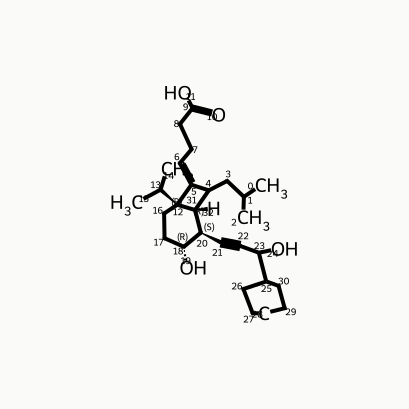 CC(C)CC1C(=CCCC(=O)O)[C@@]2(C(C)C)CC[C@@H](O)[C@H](C#CC(O)C3CCCCC3)[C@@H]12